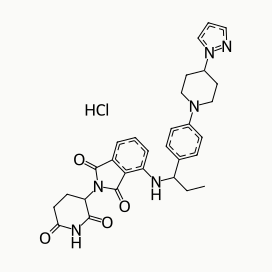 CCC(Nc1cccc2c1C(=O)N(C1CCC(=O)NC1=O)C2=O)c1ccc(N2CCC(n3cccn3)CC2)cc1.Cl